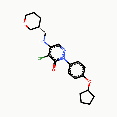 O=c1c(Cl)c(NC[C@H]2CCCOC2)cnn1-c1ccc(OC2CCCC2)cc1